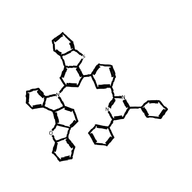 c1ccc(-c2cc(-c3ccccc3)nc(-c3cccc(-c4cc(-n5c6ccccc6c6c7oc8ccccc8c7ccc65)cc5c4sc4ccccc45)c3)n2)cc1